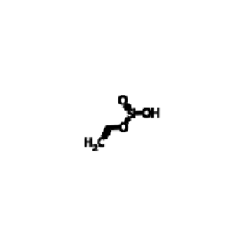 C=CO[Si](=O)O